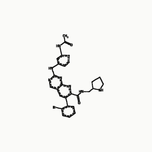 CC(=O)Nc1cccc(Nc2ncc3cc(-c4ccccc4Br)c(C(=O)NCC4CCCN4)nc3n2)c1